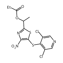 CCC(=O)OC(C)c1nc([N+](=O)[O-])c(Sc2c(Cl)cncc2Cl)s1